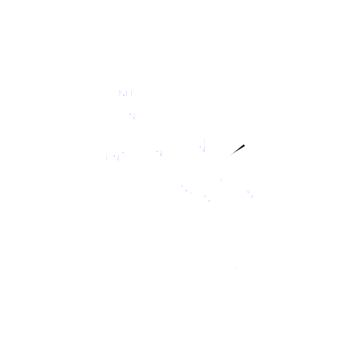 Cc1cc(Nc2cc(Cl)nc(N[C@@H](C)c3ncc(F)cn3)n2)n[nH]1